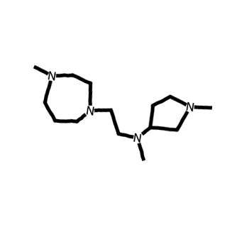 CN1CCCN(CCN(C)C2CCN(C)C2)CC1